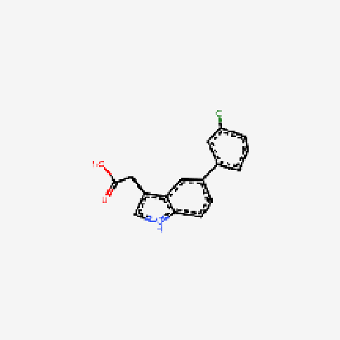 O=C(O)Cc1c[nH]c2ccc(-c3cccc(Cl)c3)cc12